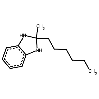 CCCCCCC1(C)Nc2ccccc2N1